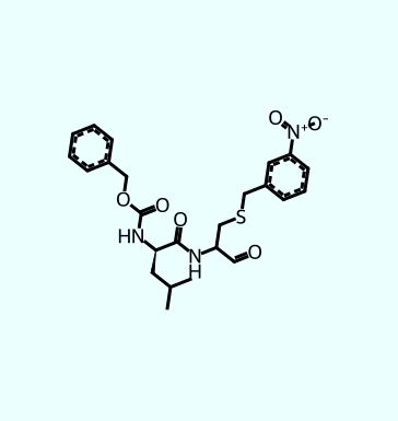 CC(C)C[C@@H](NC(=O)OCc1ccccc1)C(=O)NC(C=O)CSCc1cccc([N+](=O)[O-])c1